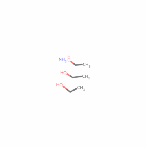 CCO.CCO.CCO.N